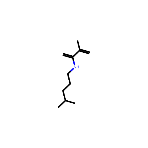 C=C(C)C(=C)NCCCC(C)C